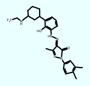 CC1=NN(c2ccc(C)c(C)c2)C(=O)/C1=N/Nc1cccc(C2CCCC(NCC(F)(F)F)C2)c1O